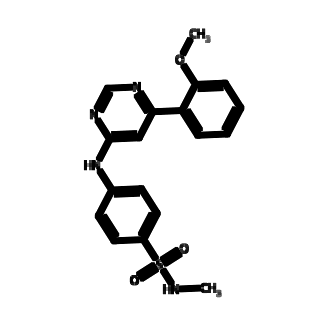 CNS(=O)(=O)c1ccc(Nc2cc(-c3ccccc3OC)ncn2)cc1